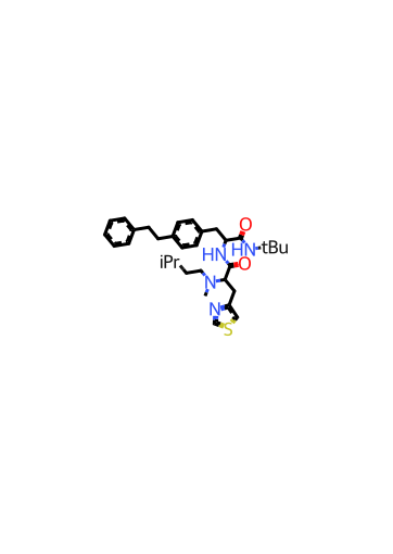 CC(C)CCN(C)C(Cc1cscn1)C(=O)NC(Cc1ccc(CCc2ccccc2)cc1)C(=O)NC(C)(C)C